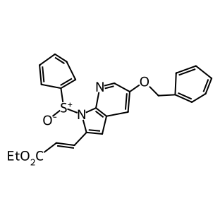 CCOC(=O)/C=C/c1cc2cc(OCc3ccccc3)cnc2n1[S+]([O-])c1ccccc1